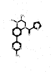 CC(=O)N1c2ccc(-c3cnc(N)nc3)cc2N(C(=O)c2ccco2)C[C@@H]1C